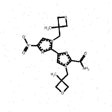 CC1(Cn2cc(-c3nc([N+](=O)[O-])cn3CC3(C)COC3)nc2C(N)=O)COC1